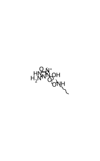 CCCCCCNC(=O)C[C@H]1[C@@H](O)[C@H](n2c[n+](C)c3c(=O)[nH]c(N)nc32)O[C@@H]1C